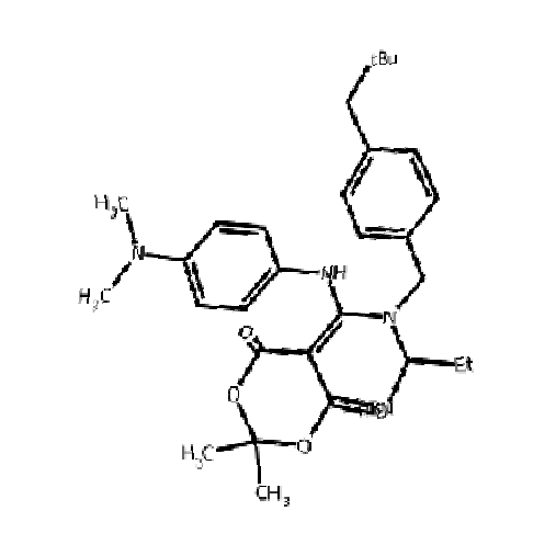 CCCCC(CC)N(Cc1ccc(CC(C)(C)C)cc1)C(Nc1ccc(N(C)C)cc1)=C1C(=O)OC(C)(C)OC1=O